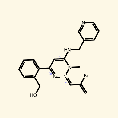 C=C(Br)/C=N\N(C)/C(=C\C(=N/C)c1ccccc1CO)NCc1cccnc1